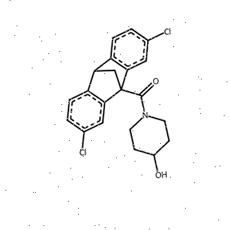 O=C(N1CCC(O)CC1)C12CC(c3ccc(Cl)cc31)c1ccc(Cl)cc12